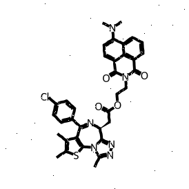 Cc1sc2c(c1C)C(c1ccc(Cl)cc1)=N[C@@H](CC(=O)OCCN1C(=O)c3cccc4c(N(C)C)ccc(c34)C1=O)c1nnc(C)n1-2